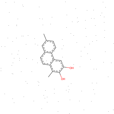 Cc1ccc2c(ccc3c(C)c(O)c(O)cc32)c1